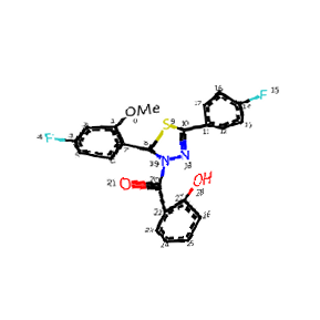 COc1cc(F)ccc1C1SC(c2ccc(F)cc2)=NN1C(=O)c1ccccc1O